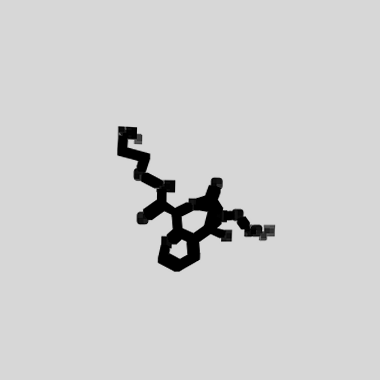 NCCONC(=O)[C@@H]1c2ncccc2[C@@H]2CN1C(=O)N2OS(=O)(=O)O